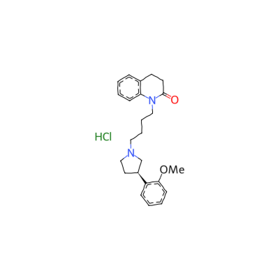 COc1ccccc1[C@H]1CCN(CCCCN2C(=O)CCc3ccccc32)C1.Cl